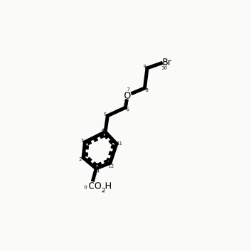 O=C(O)c1ccc(CCOCCBr)cc1